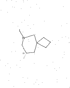 C[C@@H]1CN(I)CC2(CCC2)C1